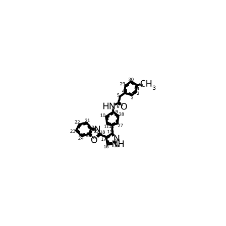 Cc1ccc(CC(=O)Nc2ccc(-c3n[nH]cc3-c3nc4ccccc4o3)cc2)cc1